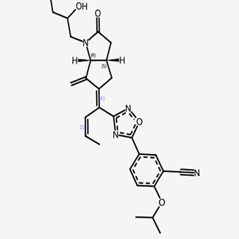 C=C1/C(=C(\C=C/C)c2noc(-c3ccc(OC(C)C)c(C#N)c3)n2)C[C@H]2CC(=O)N(CC(O)CO)[C@@H]12